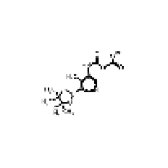 CCCCOC(=O)OC(=O)Nc1cncc(B2OC(C)(C)C(C)(C)O2)c1C